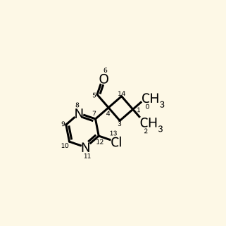 CC1(C)CC(C=O)(c2nccnc2Cl)C1